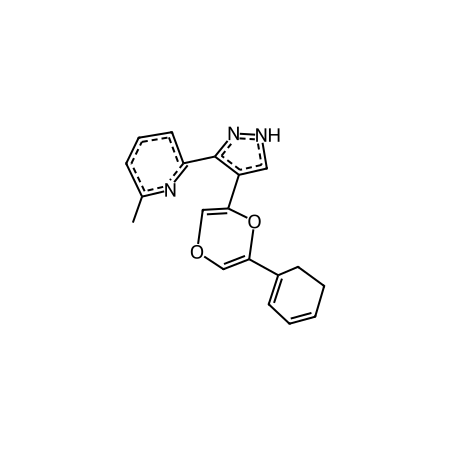 Cc1cccc(-c2n[nH]cc2C2=COC=C(C3=CC=CCC3)O2)n1